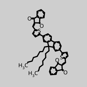 CCCCCCCCC1(CCCCCCCC)c2cc(-c3ccc(C=C4C(=O)c5ccccc5C4=O)s3)ccc2-c2ccc(-c3ccc(C=C4C(=O)c5ccccc5C4=O)s3)cc21